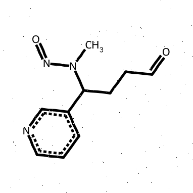 CN(N=O)C(CCC=O)c1cccnc1